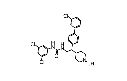 CN1CCC(C(CNC(=O)Nc2cc(Cl)cc(Cl)c2)c2ccc(-c3cccc(Cl)c3)cc2)CC1